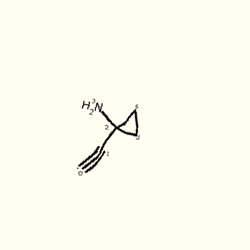 [C]#CC1(N)CC1